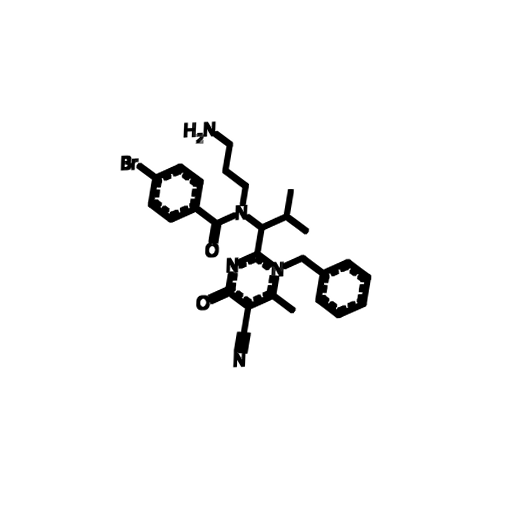 Cc1c(C#N)c(=O)nc(C(C(C)C)N(CCCN)C(=O)c2ccc(Br)cc2)n1Cc1ccccc1